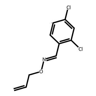 C=CCON=Cc1c[c]c(Cl)cc1Cl